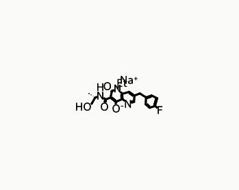 CCn1c(=O)c(C(=O)N[C@@H](C)CO)c([O-])c2ncc(Cc3ccc(F)cc3)cc21.[Na+]